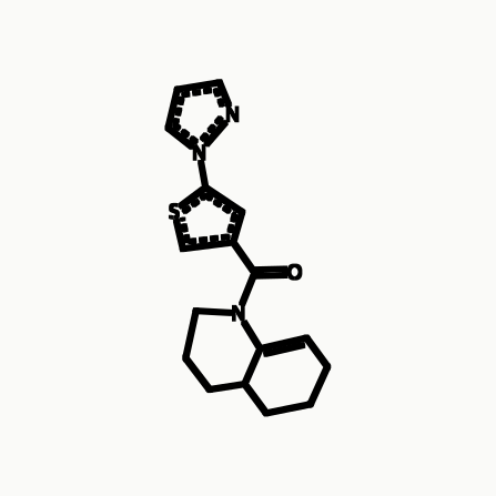 O=C(c1csc(-n2cccn2)c1)N1CCCC2CCCC=C21